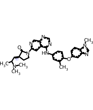 Cc1cc(Nc2ncnc3cnc(N4CC/C(=C\C(C)N(C)C)C4=O)cc23)ccc1Oc1ccc2c(c1)ncn2C